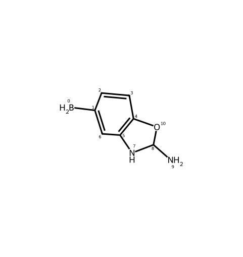 Bc1ccc2c(c1)NC(N)O2